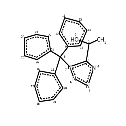 CC(O)c1nnnn1C(c1ccccc1)(c1ccccc1)c1ccccc1